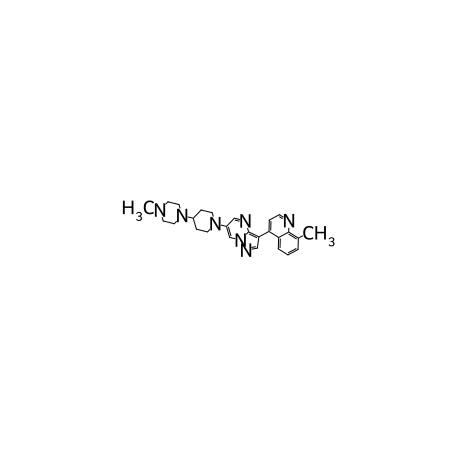 Cc1cccc2c(-c3cnn4cc(N5CCC(N6CCN(C)CC6)CC5)cnc34)ccnc12